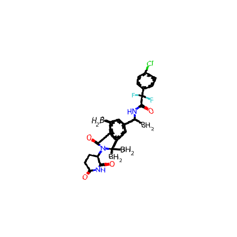 Bc1cc(C(B)NC(=O)C(F)(F)c2ccc(Cl)cc2)cc2c1C(=O)N(C1CCC(=O)NC1=O)C2(B)B